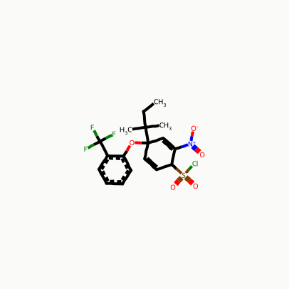 CCC(C)(C)C1(Oc2ccccc2C(F)(F)F)C=CC(S(=O)(=O)Cl)C([N+](=O)[O-])=C1